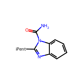 CCCC(C)c1nc2ccccc2n1C(N)=O